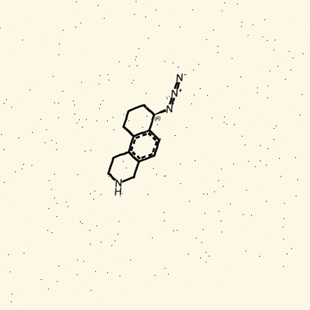 [N-]=[N+]=N[C@@H]1CCCc2c1ccc1c2CCNC1